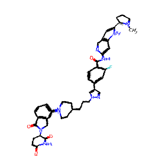 CN1CCC[C@@H]1c1cc2cnc(NC(=O)c3ccc(-c4cnn(CCCC5CCN(c6cccc7c6CN(C6CCC(=O)NC6=O)C7=O)CC5)c4)cc3F)cc2[nH]1